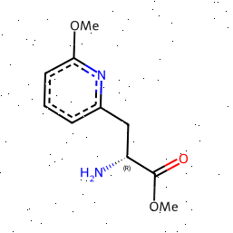 COC(=O)[C@H](N)Cc1cccc(OC)n1